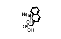 O=P(O)(O)Cc1ccc2ccccc2n1.[NaH].[NaH]